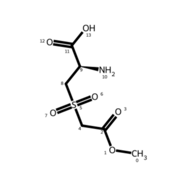 COC(=O)CS(=O)(=O)C[C@H](N)C(=O)O